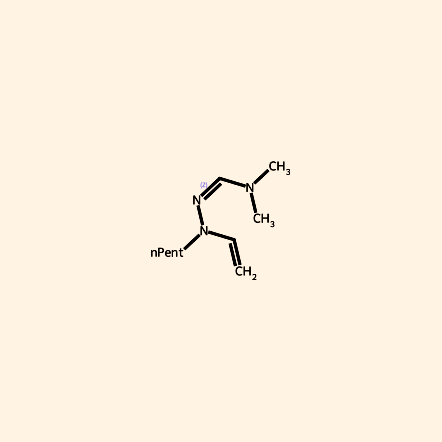 C=CN(CCCCC)/N=C\N(C)C